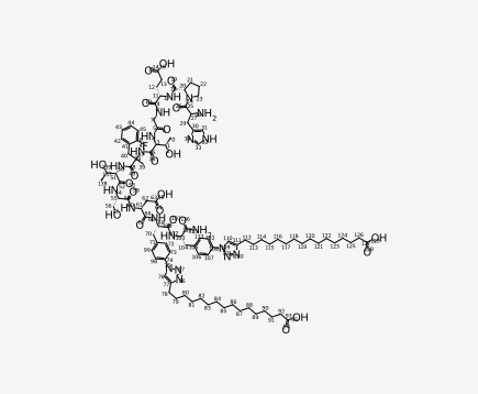 C[C@@H](O)[C@H](NC(=O)CNC(=O)[C@H](CCC(=O)O)NC(=O)[C@@H]1CCCN1C(=O)C(N)Cc1c[nH]cn1)C(=O)NC(C)(Cc1ccccc1F)C(=O)N[C@H](C(=O)N[C@@H](CO)C(=O)N[C@@H](CC(=O)O)C(=O)N[C@@H](Cc1ccc(-n2cc(CCCCCCCCCCCCCCCC(=O)O)nn2)cc1)C(=O)N[C@@H](Cc1ccc(-n2cc(CCCCCCCCCCCCCCCC(=O)O)nn2)cc1)C(N)=O)[C@@H](C)O